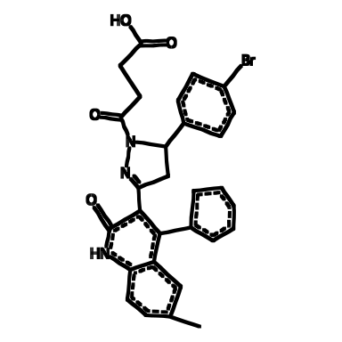 Cc1ccc2[nH]c(=O)c(C3=NN(C(=O)CCC(=O)O)C(c4ccc(Br)cc4)C3)c(-c3ccccc3)c2c1